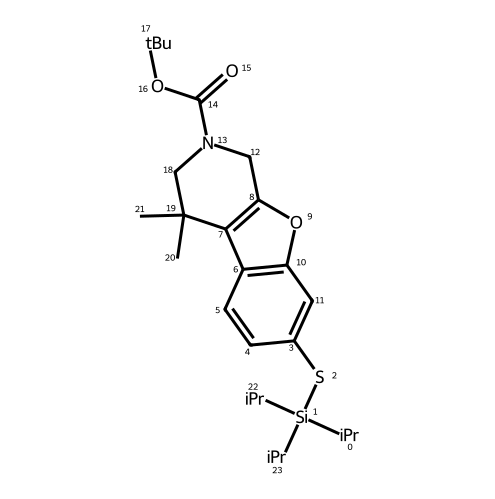 CC(C)[Si](Sc1ccc2c3c(oc2c1)CN(C(=O)OC(C)(C)C)CC3(C)C)(C(C)C)C(C)C